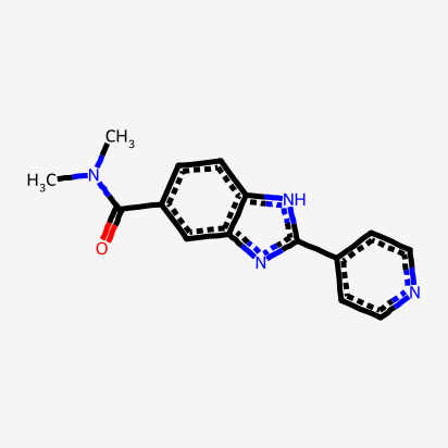 CN(C)C(=O)c1ccc2[nH]c(-c3ccncc3)nc2c1